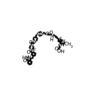 Cc1nc(SCC(=O)O)c2cc(C#CCNC(=O)COCCN3CCN(CC4CCN(CC(=O)N5CCN(C(=O)c6cc(Cc7n[nH]c(=O)c8ccccc78)ccc6F)CC5)CC4)CC3)sc2n1